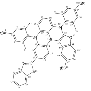 Cc1cc(C(C)(C)C)cc(C)c1N1c2cc(-c3cc4ccccc4s3)ccc2B2c3c1cccc3N(c1c(C)cc(C(C)(C)C)cc1C)c1oc3ccc(C(C)(C)C)cc3c12